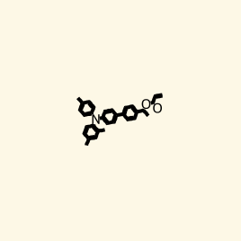 C=CC(=O)OC(C)c1ccc(-c2ccc(N(c3ccc(C)cc3)c3ccc(C)cc3C)cc2)cc1